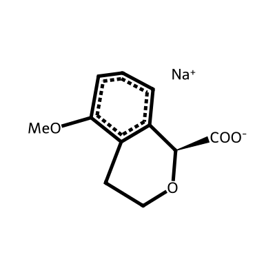 COc1cccc2c1CCO[C@@H]2C(=O)[O-].[Na+]